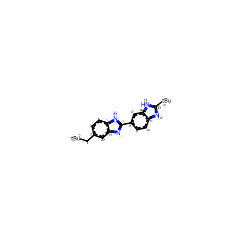 CC(C)(C)Cc1ccc2[nH]c(-c3ccc4nc(C(C)(C)C)[nH]c4c3)nc2c1